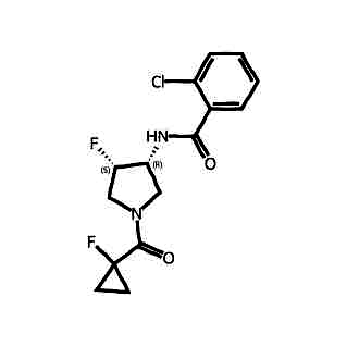 O=C(N[C@@H]1CN(C(=O)C2(F)CC2)C[C@@H]1F)c1ccccc1Cl